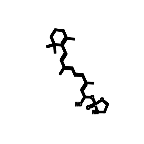 CC(C=CC1=C(C)CCCC1(C)C)=CC=CC(C)=CC(O)OP1(=O)NCCO1